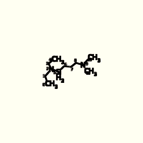 CCN(CC)[SiH2]CCCN(C)C